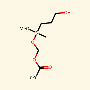 CCCC(=O)OCO[Si](C)(CCCO)OC